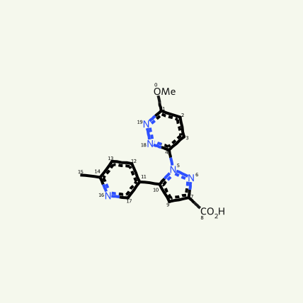 COc1ccc(-n2nc(C(=O)O)cc2-c2ccc(C)nc2)nn1